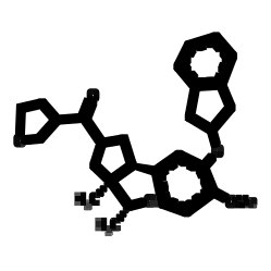 COc1ccc([C@@H]2CC(C(=O)C3CCOC3)C[C@]2(C)[C@@H](C)O)cc1OC1Cc2ccccc2C1